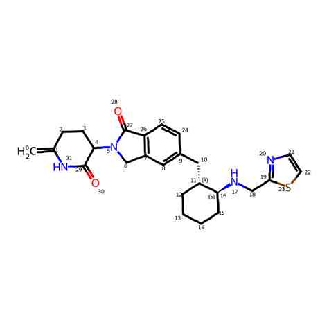 C=C1CCC(N2Cc3cc(C[C@H]4CCCC[C@@H]4NCc4nccs4)ccc3C2=O)C(=O)N1